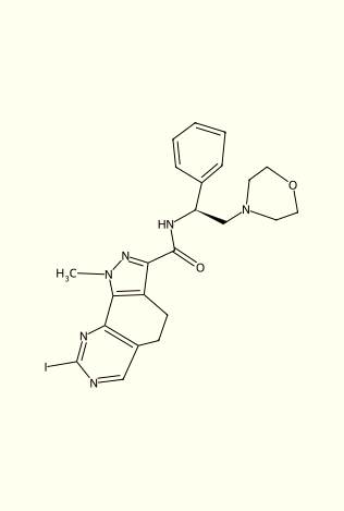 Cn1nc(C(=O)N[C@H](CN2CCOCC2)c2ccccc2)c2c1-c1nc(I)ncc1CC2